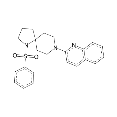 O=S(=O)(c1ccccc1)N1CCCC12CCN(c1ccc3ccccc3n1)CC2